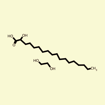 CCCCCCCCCCCCCCCCC(O)C(=O)O.OCCO